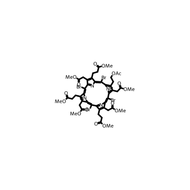 COC(=O)CCC1=C(CC(=O)OC)c2nc1c(Br)c1[nH]c(c(Br)c3nc(c(Br)c4[nH]c(c2Br)c(CCC(=O)OC)c4CC(=O)OC)C(CCC(=O)OC)=C3CC(=O)OC)c(CC(=O)OC)c1CCOC(C)=O